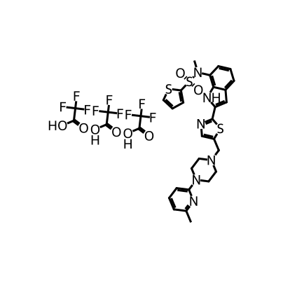 Cc1cccc(N2CCN(Cc3cnc(-c4cc5cccc(N(C)S(=O)(=O)c6cccs6)c5[nH]4)s3)CC2)n1.O=C(O)C(F)(F)F.O=C(O)C(F)(F)F.O=C(O)C(F)(F)F